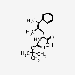 C/C(C[C@H](NC(=O)OC(C)(C)C)C(=O)O)=C(\C)c1ccccc1